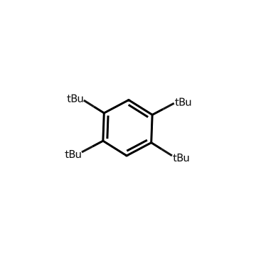 CC(C)(C)c1cc(C(C)(C)C)c(C(C)(C)C)cc1C(C)(C)C